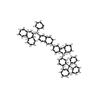 c1ccc(N(c2ccc3cc(-c4ccc5c(c4)c4ccccc4n5-c4ccc5c(c4)C(c4ccccc4)(c4ccccc4)c4ccccc4-5)ccc3c2)c2cc3ccccc3c3ccccc23)cc1